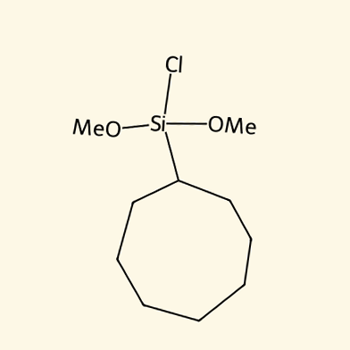 CO[Si](Cl)(OC)C1CCCCCCC1